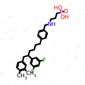 Cc1ccc(CC(CCCCc2ccc(CNCCCP(=O)(O)O)cc2)c2cc(F)cc(F)c2)cc1C